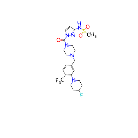 CS(=O)(=O)Nc1ccn(C(=O)N2CCN(Cc3ccc(C(F)(F)F)c(N4CCC(F)CC4)c3)CC2)n1